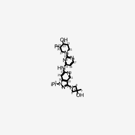 CC(C)n1nc(N2CC(C)(O)C2)c2cnc(Nc3ccnc(N4CC[C@H](O)[C@H](F)C4)n3)cc21